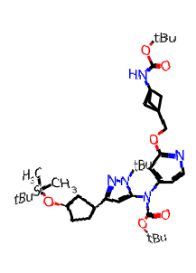 CC(C)(C)OC(=O)NC12CC(COc3cc(N(C(=O)OC(C)(C)C)c4cc([C@H]5CC[C@@H](O[Si](C)(C)C(C)(C)C)C5)nn4C(C)(C)C)ccn3)(C1)C2